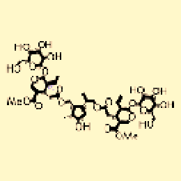 C=CC1[C@H](O[C@@H]2O[C@H](CO)[C@@H](O)[C@H](O)[C@H]2O)OC=C(C(=O)OC)[C@H]1CC(=O)OCC(C)[C@@H]1C[C@@H](O)[C@H](C)[C@H]1COC(=O)C[C@@H]1C(C(=O)OC)=CO[C@@H](O[C@@H]2O[C@H](CO)[C@@H](O)[C@H](O)[C@H]2O)/C1=C\C